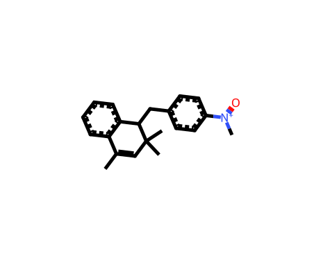 CC1=CC(C)(C)C(Cc2ccc([N+](C)=O)cc2)c2ccccc21